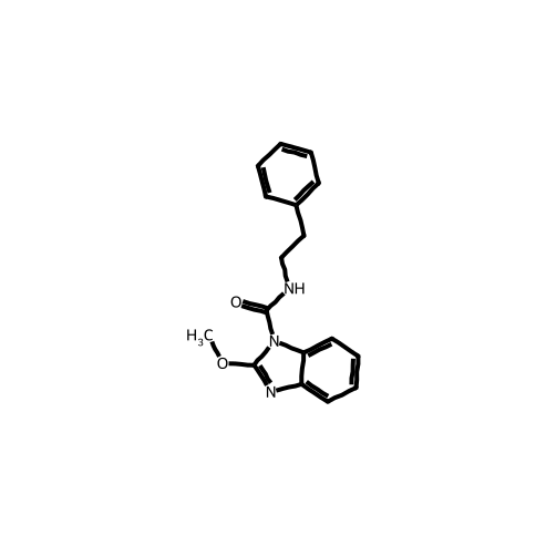 COc1nc2ccccc2n1C(=O)NCCc1ccccc1